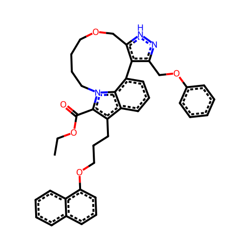 CCOC(=O)c1c(CCCOc2cccc3ccccc23)c2cccc3c2n1CCCCOCc1[nH]nc(COc2ccccc2)c1-3